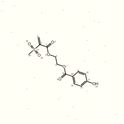 C=C(C(=O)OCCOC(=O)c1ccc(O)cc1)S(C)(=O)=O